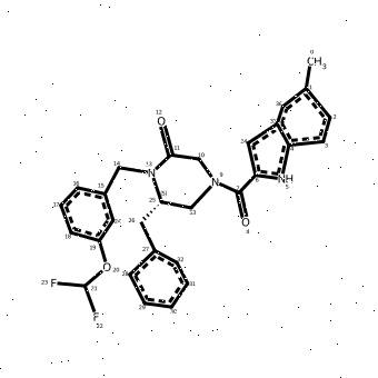 Cc1ccc2[nH]c(C(=O)N3CC(=O)N(Cc4cccc(OC(F)F)c4)[C@@H](Cc4ccccc4)C3)cc2c1